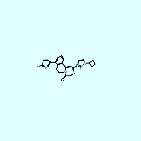 O=C1CN=C(N2C=CN(C3CCC3)N2)C=C2c3cccc(-c4ccc(F)nc4)c3CCN12